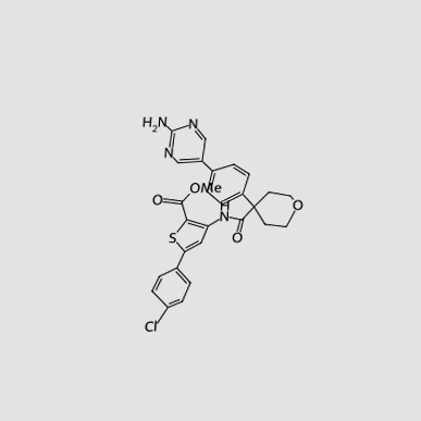 COC(=O)c1sc(-c2ccc(Cl)cc2)cc1NC(=O)C1(c2ccc(-c3cnc(N)nc3)cc2)CCOCC1